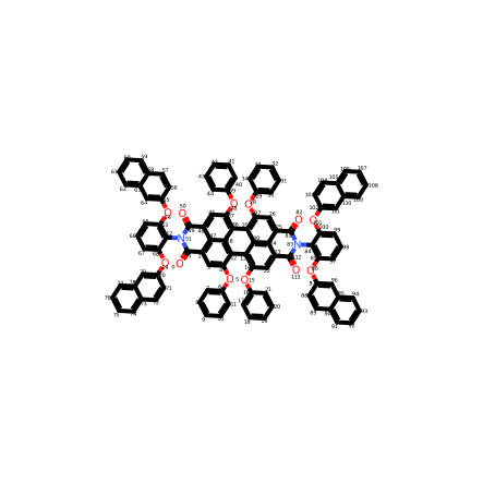 O=C1c2cc(Oc3ccccc3)c3c4c(Oc5ccccc5)cc5c6c(cc(Oc7ccccc7)c(c7c(Oc8ccccc8)cc(c2c37)C(=O)N1c1c(Oc2ccc3ccccc3c2)cccc1Oc1ccc2ccccc2c1)c64)C(=O)N(c1c(Oc2ccc3ccccc3c2)cccc1Oc1ccc2ccccc2c1)C5=O